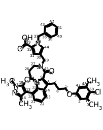 Cc1cc(OCCCc2c3n(c4c(-c5c(C)nn(C)c5C)cccc24)CCCN(Cc2cc(C(=O)O)n(Cc4ccccc4)c2)C3=O)cc(C)c1Cl